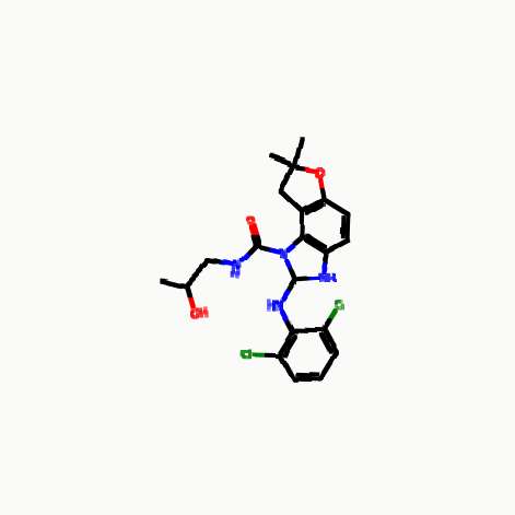 CC(O)CNC(=O)N1c2c(ccc3c2CC(C)(C)O3)NC1Nc1c(Cl)cccc1Cl